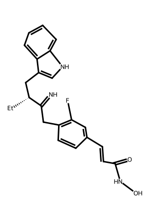 CC[C@H](Cc1c[nH]c2ccccc12)C(=N)Cc1ccc(/C=C/C(=O)NO)cc1F